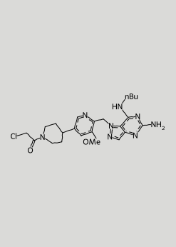 CCCCNc1nc(N)nc2cnn(Cc3ncc(C4CCN(C(=O)CCl)CC4)cc3OC)c12